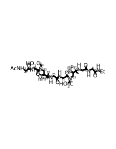 CCCC(C)(NCC(=O)NCC(=O)NCC)C(=O)CN(CC(=O)O)C(=O)CNC(=O)CNC(C)(CCC)C(=O)CN(CC(=O)O)C(=O)CNC(=O)CNC(C)=O